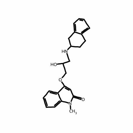 Cn1c(=O)cc(OCC(O)CNC2CCc3ccccc3C2)c2ccccc21